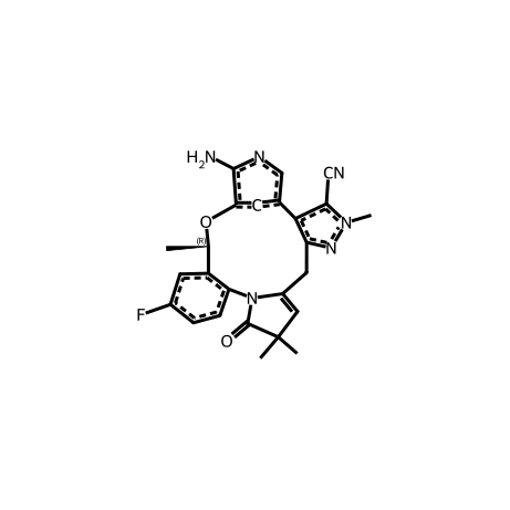 C[C@H]1Oc2cc(cnc2N)-c2c(nn(C)c2C#N)CC2=CC(C)(C)C(=O)N2c2ccc(F)cc21